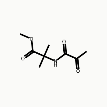 COC(=O)C(C)(C)NC(=O)C(C)=O